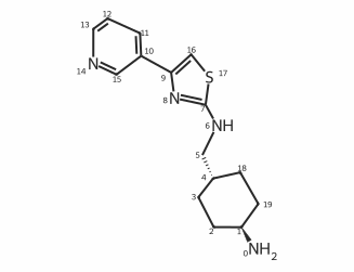 N[C@H]1CC[C@H](CNc2nc(-c3cccnc3)cs2)CC1